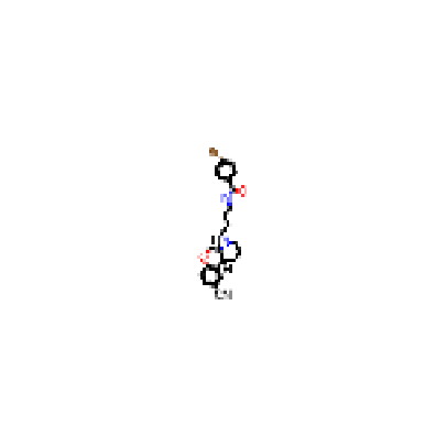 N#Cc1ccc2c(c1)[C@@H]1CCCN(CCCCNC(=O)c3ccc(Br)cc3)[C@H]1CO2